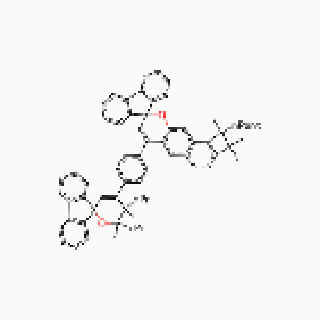 CCCCCC1(C)c2c(ccc3cc4c(cc23)OC2(C=C4c3ccc(C4=CC5(OC(C)(CCC)C4(C)CCC)c4ccccc4-c4ccccc45)cc3)c3ccccc3-c3ccccc32)C1(C)C